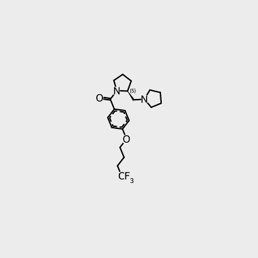 O=C(c1ccc(OCCCC(F)(F)F)cc1)N1CCC[C@H]1CN1CCCC1